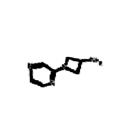 NC1CN(c2cnccn2)C1